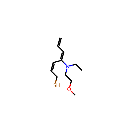 C=C/C=C(\C=C/CS)N(CC)CCOC